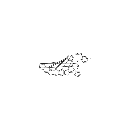 COc1cc(C)ccc1CC12C3=CC4(c5cccs5)C=C5Cc6cc7cc8c9c%10c%11c%12c(c%13c1c4c1c5c6c4c7c9c%12c4c1%13)C1=C2C(=CC(C=C%10C8)C1%11)C3